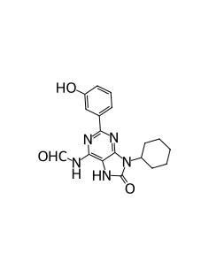 O=CNc1nc(-c2cccc(O)c2)nc2c1[nH]c(=O)n2C1CCCCC1